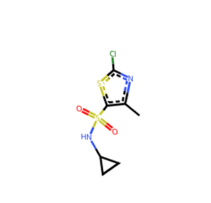 Cc1nc(Cl)sc1S(=O)(=O)NC1CC1